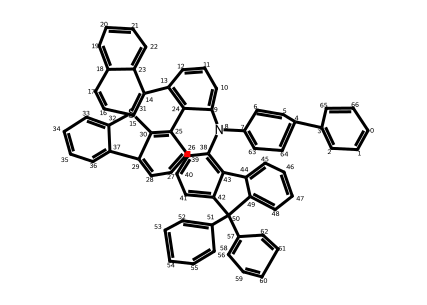 c1ccc(-c2ccc(N(c3cccc(-c4cccc5ccccc45)c3-c3cccc4c3sc3ccccc34)c3cccc4c3-c3ccccc3C4(c3ccccc3)c3ccccc3)cc2)cc1